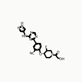 N#Cc1cc(-c2ncnc(Nc3cn[nH]c3)n2)ccc1O[C@H]1CCN(C(=O)CO)CC1F